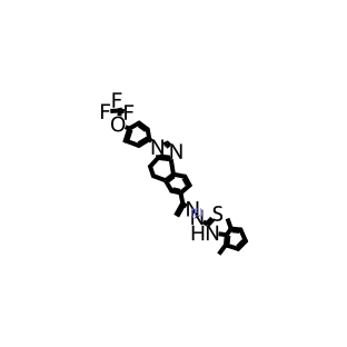 C=C(/N=N/C(=S)Nc1c(C)cccc1C)c1ccc2c(c1)CCc1c-2ncn1-c1ccc(OC(F)(F)F)cc1